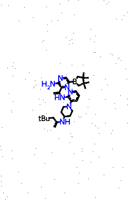 C=C(CC(C)(C)C)NC1CCN(c2cccnc2NC(=C)c2nc(B3CC(C)(C)C(C)(C)C3)cnc2N)CC1